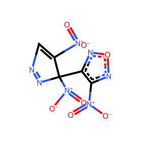 O=[N+]([O-])C1=CN=NC1(c1nonc1[N+](=O)[O-])[N+](=O)[O-]